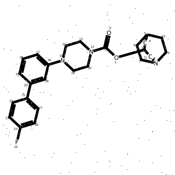 O=C(OC1CC2CCN(CC2)C1)N1CCN(c2cccc(-c3ccc(F)cc3)c2)CC1